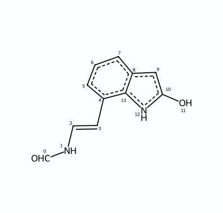 O=CNC=Cc1cccc2cc(O)[nH]c12